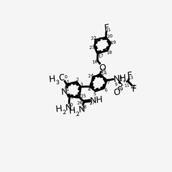 Cc1cc(-c2ccc(N[S+]([O-])C(F)F)c(OCc3ccc(F)cc3)c2)c(C(=N)N)c(N)n1